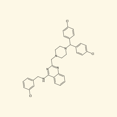 Clc1ccc(C(c2ccc(Cl)cc2)N2CCN(Cc3nc(NCc4cccc(Cl)c4)c4ccccc4n3)CC2)cc1